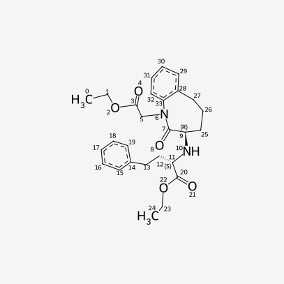 CCOC(=O)CN1C(=O)[C@H](N[C@@H](CCc2ccccc2)C(=O)OCC)CCCc2ccccc21